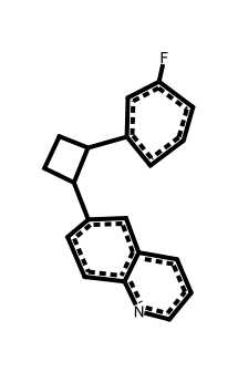 Fc1cccc(C2CCC2c2ccc3ncccc3c2)c1